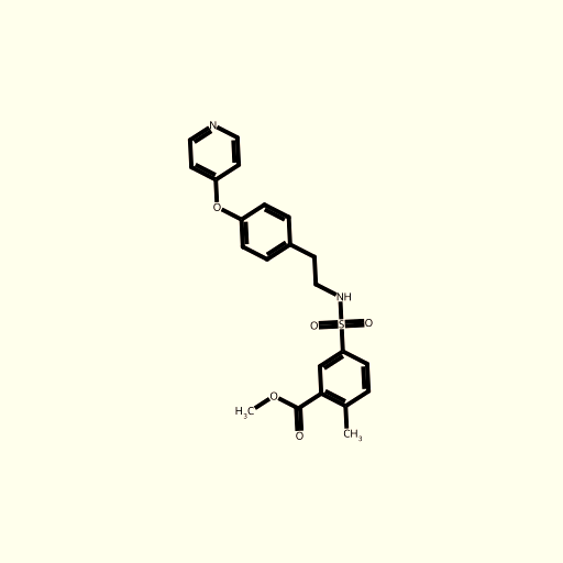 COC(=O)c1cc(S(=O)(=O)NCCc2ccc(Oc3ccncc3)cc2)ccc1C